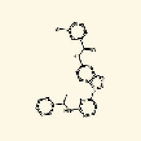 CC(Nc1nccc(-n2cnc3cc(NC(=O)c4cccc(Br)c4)ccc32)n1)c1ccccc1